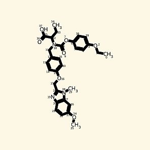 CCOc1ccc(OC(=O)N(Cc2ccc(OCc3nc4ccc(OC)cc4n3C)cc2)C(CC)C(=O)O)cc1